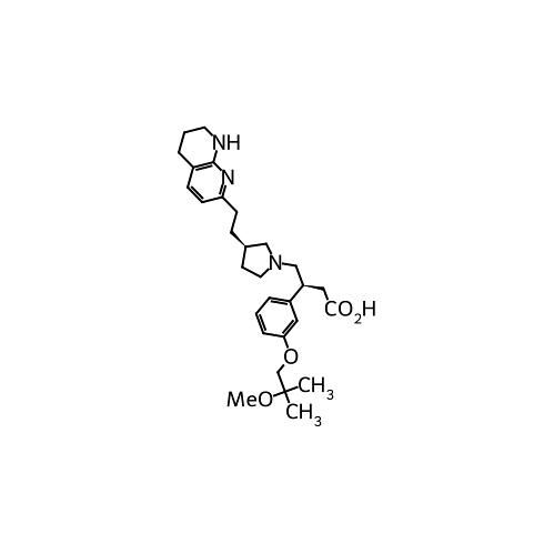 COC(C)(C)COc1cccc([C@H](CC(=O)O)CN2CC[C@@H](CCc3ccc4c(n3)NCCC4)C2)c1